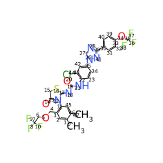 Cc1cc(COCC(F)(F)F)c(N2C(=O)CSC2=NC(=O)Nc2ccc(-n3cnc(-c4ccc(OC(F)(F)F)cc4)n3)cc2Cl)cc1C